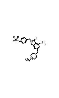 Cc1cc(CC2CCN([C]=O)CC2)cc2c1C(=O)N(Cc1ccc(OC(F)(F)F)cc1)C2